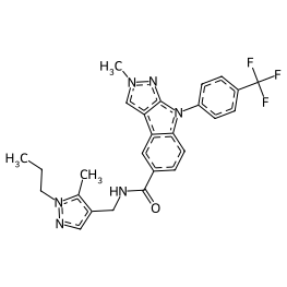 CCCn1ncc(CNC(=O)c2ccc3c(c2)c2cn(C)nc2n3-c2ccc(C(F)(F)F)cc2)c1C